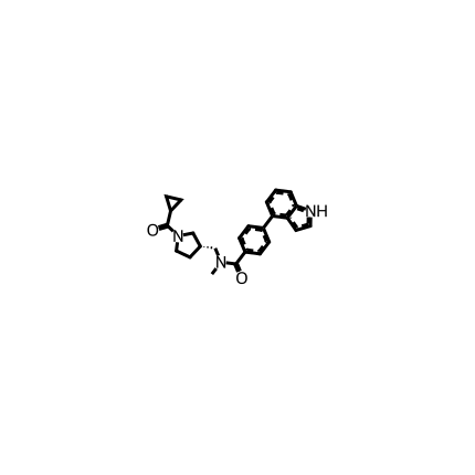 CN(C[C@@H]1CCN(C(=O)C2CC2)C1)C(=O)c1ccc(-c2cccc3[nH]ccc23)cc1